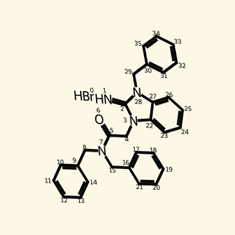 Br.N=c1n(CC(=O)N(Cc2ccccc2)Cc2ccccc2)c2ccccc2n1Cc1ccccc1